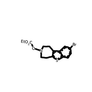 CCOC(=O)ON1CCc2sc3ccc(Br)cc3c2CC1